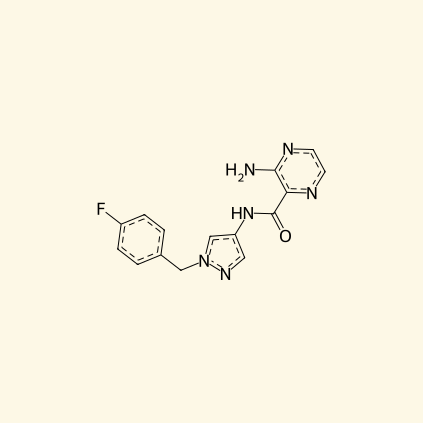 Nc1nccnc1C(=O)Nc1cnn(Cc2ccc(F)cc2)c1